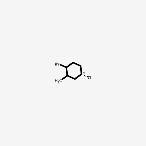 CC(C)C1CC[C@H](Cl)CC1C